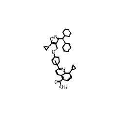 O=C(O)c1ccc(C2CC2)c2nc(C34CCC(OCc5c(C(C6CCCCC6)C6CCCCC6)noc5C5CC5)(CC3)CC4)ccc12